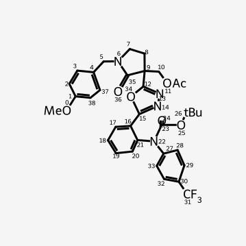 COc1ccc(CN2CCC(COC(C)=O)(c3nnc(-c4ccccc4N(C(=O)OC(C)(C)C)c4ccc(C(F)(F)F)cc4)o3)C2=O)cc1